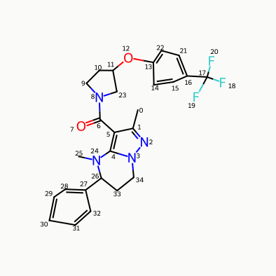 Cc1nn2c(c1C(=O)N1CCC(Oc3ccc(C(F)(F)F)cc3)C1)N(C)C(c1ccccc1)CC2